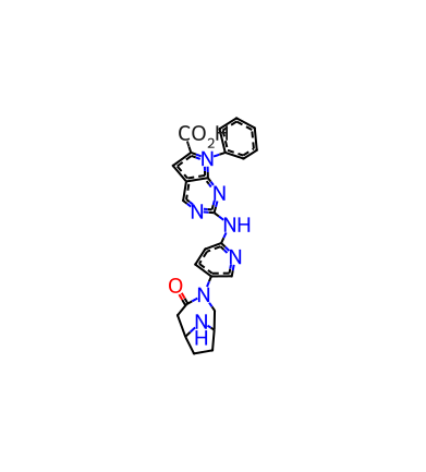 O=C(O)c1cc2cnc(Nc3ccc(N4CC5CCC(CC4=O)N5)cn3)nc2n1-c1ccccc1